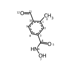 Cc1cc(C(=O)NO)ccc1C=O